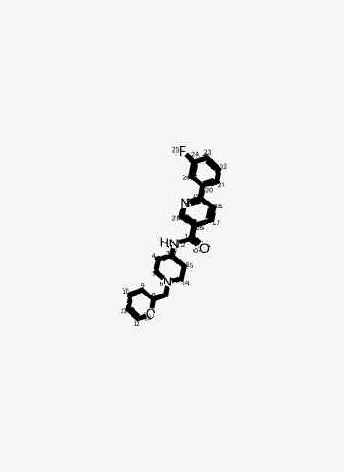 O=C(NC1CCN(CC2CCC=CO2)CC1)c1ccc(-c2cccc(F)c2)nc1